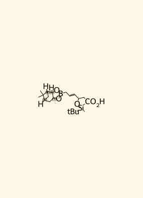 CC1(C)[C@@H]2C[C@H]1[C@H]1OB(CC=CC(CC(=O)O)O[Si](C)(C)C(C)(C)C)O[C@@]1(C)C2